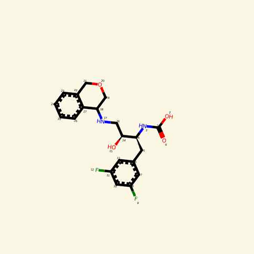 O=C(O)N[C@@H](Cc1cc(F)cc(F)c1)[C@@H](O)CNC1COCc2ccccc21